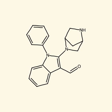 O=Cc1c(N2CC3CC2CN3)n(-c2ccccc2)c2ccccc12